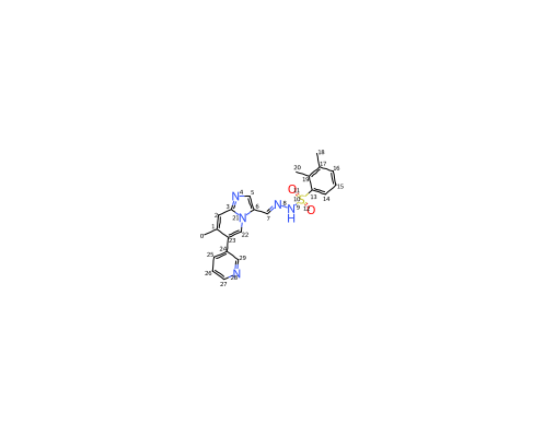 Cc1cc2ncc(C=NNS(=O)(=O)c3cccc(C)c3C)n2cc1-c1cccnc1